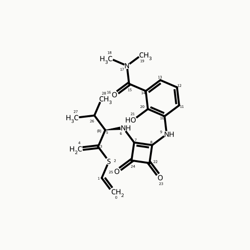 C=CSC(=C)[C@H](Nc1c(Nc2cccc(C(=O)N(C)C)c2O)c(=O)c1=O)C(C)C